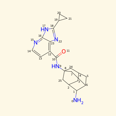 NC1C2CC3CC1CC(NC(=O)c1ccnc4[nH]c(C5CC5)nc14)(C3)C2